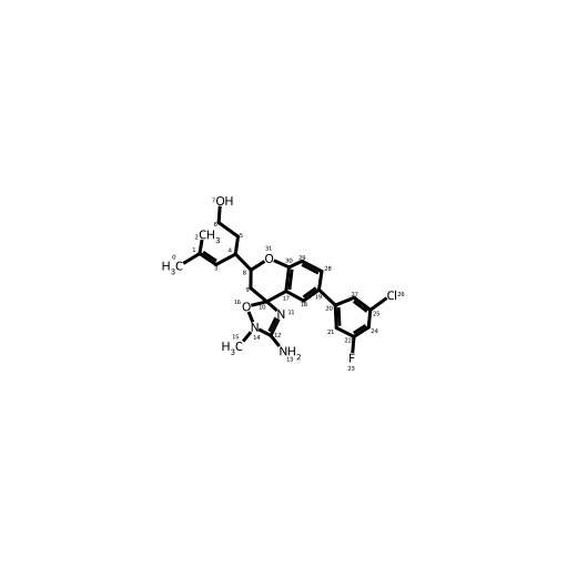 CC(C)=CC(CCO)C1CC2(N=C(N)N(C)O2)c2cc(-c3cc(F)cc(Cl)c3)ccc2O1